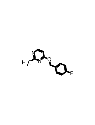 Cc1nccc(OCc2ccc(F)cc2)n1